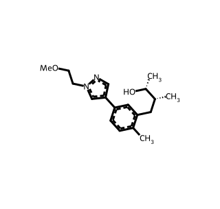 COCCn1cc(-c2ccc(C)c(C[C@@H](C)[C@@H](C)O)c2)cn1